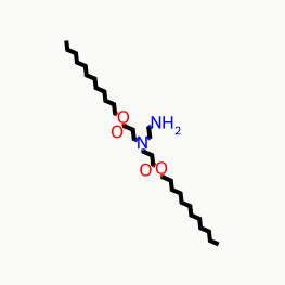 CCCCCCCCCCCCOC(=O)CCN(CCN)CCC(=O)OCCCCCCCCCCCC